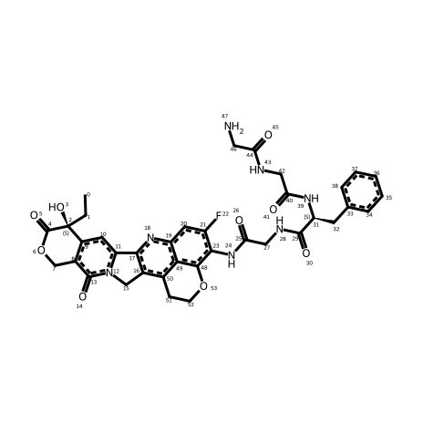 CC[C@@]1(O)C(=O)OCc2c1cc1n(c2=O)Cc2c-1nc1cc(F)c(NC(=O)CNC(=O)[C@H](Cc3ccccc3)NC(=O)CNC(=O)CN)c3c1c2CCO3